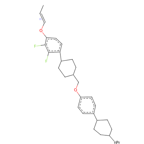 C/C=C/Oc1ccc(C2CCC(COc3ccc(C4CCC(CCC)CC4)cc3)CC2)c(F)c1F